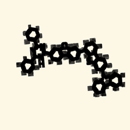 C1=CCCC(C2=NC(c3ccccc3)NC(c3ccc4c(c3)oc3cc(-c5cccc6c5sc5cc(-n7c8ccccc8c8ccccc87)ccc56)ccc34)=N2)=C1